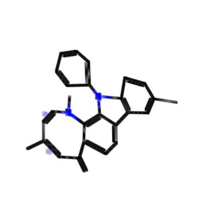 C=C1/C=C(C)\C=C/N(C)c2c1ccc1c3cc(C)ccc3n(-c3ccccc3)c21